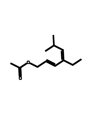 CCC(C=CCOC(C)=O)=CC(C)C